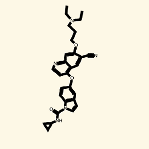 CCN(CC)CCCOc1cc2nccc(Oc3ccc4c(ccn4C(=O)NC4CC4)c3)c2cc1C#N